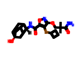 CC(C)(COc1noc(C(=O)N[C@H]2C3CC4CC2C[C@](O)(C4)C3)c1SC1CCC1)C(N)=O